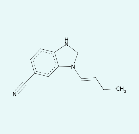 CCC=CN1CNc2ccc(C#N)cc21